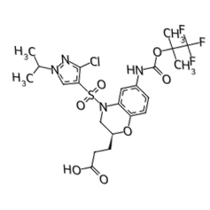 CC(C)n1cc(S(=O)(=O)N2C[C@H](CCC(=O)O)Oc3ccc(NC(=O)OC(C)(C)C(F)(F)F)cc32)c(Cl)n1